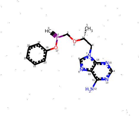 C#P(CO[C@H](C)Cn1cnc2c(N)ncnc21)Oc1ccccc1